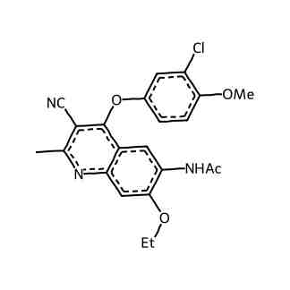 CCOc1cc2nc(C)c(C#N)c(Oc3ccc(OC)c(Cl)c3)c2cc1NC(C)=O